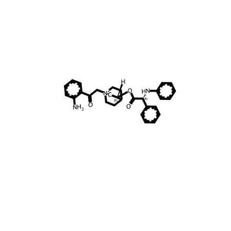 Nc1ccccc1C(=O)C[N+]12CCC(CC1)[C@@H](OC(=O)[C@H](Nc1ccccc1)c1ccccc1)C2